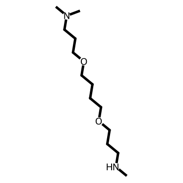 CNCCCOCCCCOCCCN(C)C